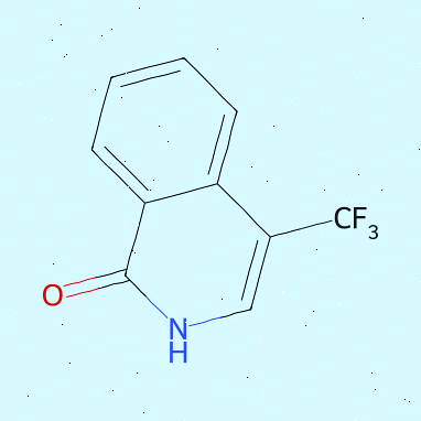 O=c1[nH]cc(C(F)(F)F)c2ccccc12